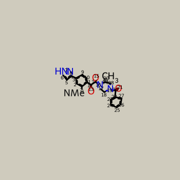 CNc1cc(-c2cc[nH]n2)ccc1C(=O)C(=O)N1CCN(C(=O)c2ccccc2)C[C@H]1C